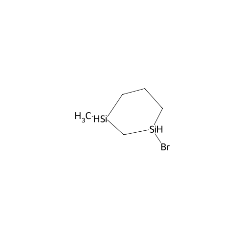 C[SiH]1CCC[SiH](Br)C1